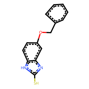 Sc1nc2cc(OCc3ccccc3)ccc2[nH]1